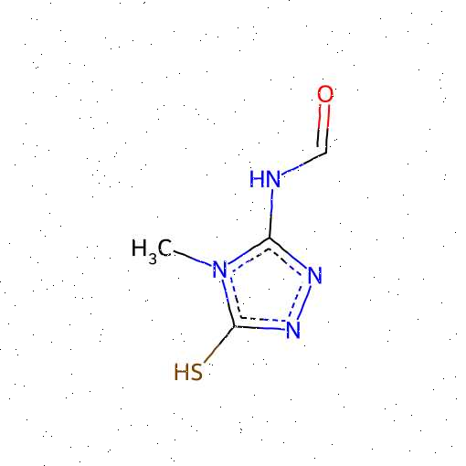 Cn1c(S)nnc1NC=O